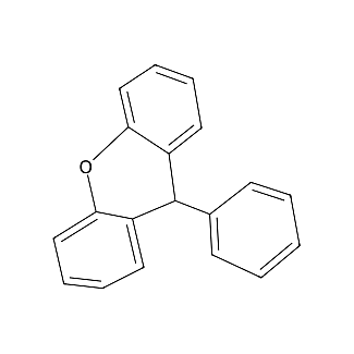 c1ccc(C2c3ccccc3Oc3ccccc32)cc1